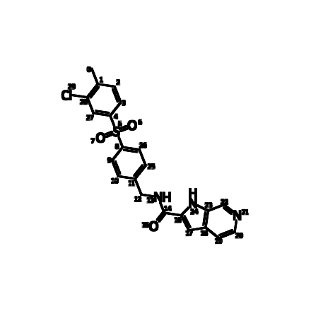 Cc1ccc(S(=O)(=O)c2ccc(CNC(=O)c3cc4ccncc4[nH]3)cc2)cc1Cl